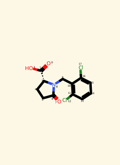 O=C(O)[C@H]1CCC(=O)N1Cc1c(Cl)cccc1Cl